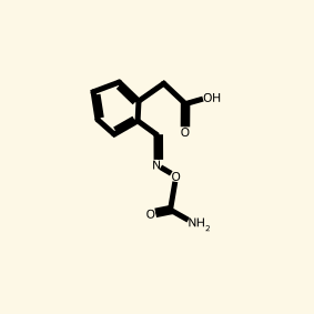 NC(=O)O/N=C/c1ccccc1CC(=O)O